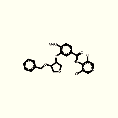 COc1ccc(C(=O)Nc2c(Cl)cncc2Cl)cc1OC1COCC1OCc1ccccc1